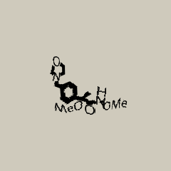 CONC(=O)C(C)(OC)c1ccc(CN2CCOCC2)cc1